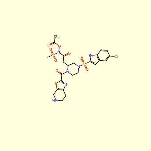 CS(=O)(=O)N(OC(=O)C(F)(F)F)C(=O)CC1CN(S(=O)(=O)c2cc3cc(Cl)ccc3[nH]2)CCN1C(=O)c1nc2c(s1)CNCC2